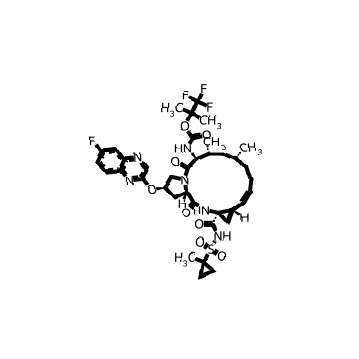 C[C@@H]1CC/C=C\[C@@H]2C[C@@]2(C(=O)NS(=O)(=O)C2(C)CC2)NC(=O)[C@@H]2C[C@@H](Oc3cnc4cc(F)ccc4n3)CN2C(=O)[C@@H](NC(=O)OC(C)(C)C(F)(F)F)[C@H](C)C1